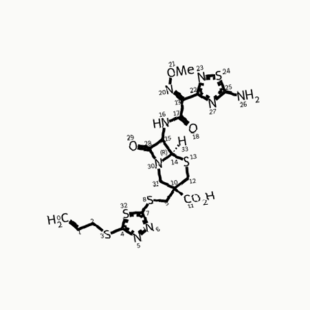 C=CCSc1nnc(SCC2(C(=O)O)CS[C@@H]3C(NC(=O)C(=NOC)c4nsc(N)n4)C(=O)N3C2)s1